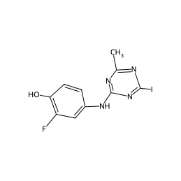 Cc1nc(I)nc(Nc2ccc(O)c(F)c2)n1